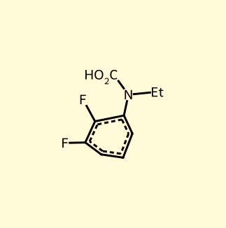 CCN(C(=O)O)c1cccc(F)c1F